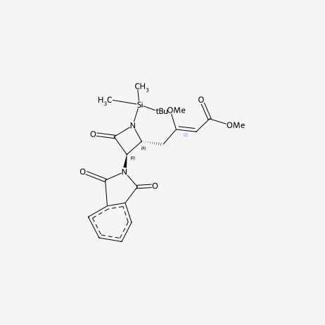 COC(=O)/C=C(/C[C@@H]1[C@@H](N2C(=O)c3ccccc3C2=O)C(=O)N1[Si](C)(C)C(C)(C)C)OC